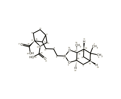 CC1(C)[C@@H]2C[C@H]3OB(CCCC4C5CC[C@@]4(C(=O)O)N(C(=O)O)C5)O[C@@]3(C)[C@H]1C2